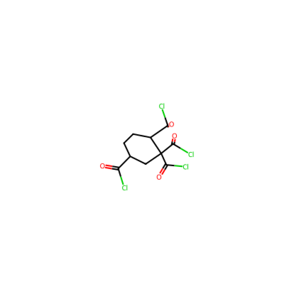 O=C(Cl)C1CCC(C(=O)Cl)C(C(=O)Cl)(C(=O)Cl)C1